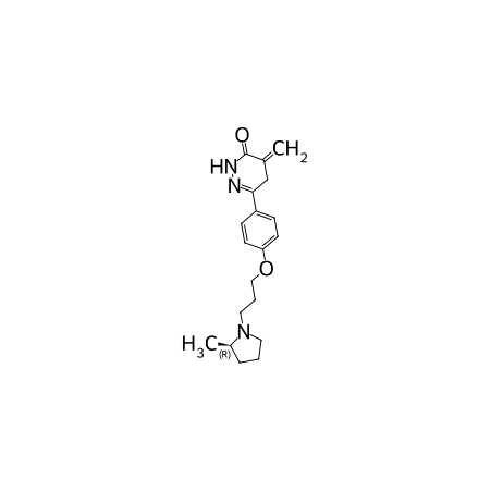 C=C1CC(c2ccc(OCCCN3CCC[C@H]3C)cc2)=NNC1=O